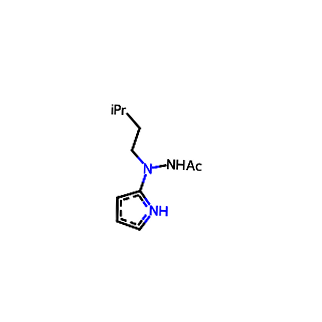 CC(=O)NN(CCC(C)C)c1ccc[nH]1